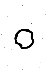 C1=C\C/C=C\C/C=C/CCC/C=C/1